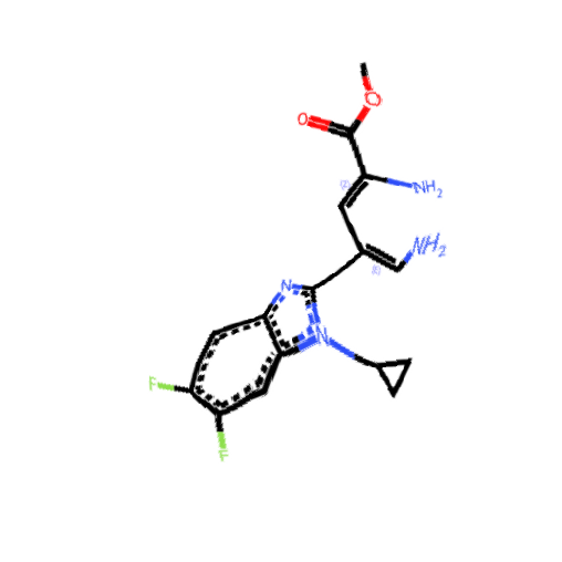 COC(=O)/C(N)=C/C(=C\N)c1nc2cc(F)c(F)cc2n1C1CC1